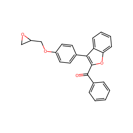 O=C(c1ccccc1)c1oc2ccccc2c1-c1ccc(OCC2CO2)cc1